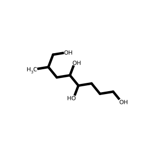 CC(CO)CC(O)C(O)CCCO